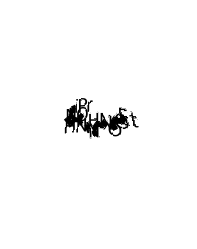 CCOCC(=O)NCCN(C)CCNC(=O)C1CCN1CC(C)C